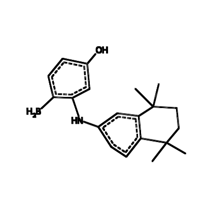 Bc1ccc(O)cc1Nc1ccc2c(c1)C(C)(C)CCC2(C)C